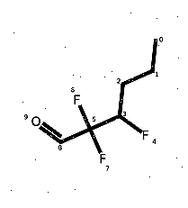 CCCC(F)C(F)(F)C=O